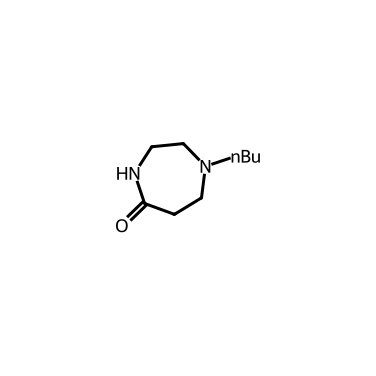 CCCCN1CCNC(=O)CC1